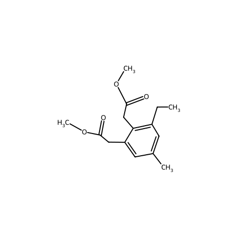 CCc1cc(C)cc(CC(=O)OC)c1CC(=O)OC